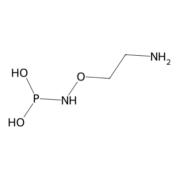 NCCONP(O)O